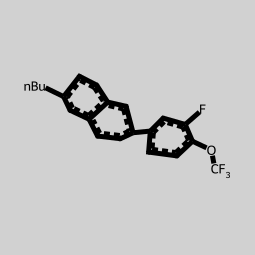 CCCCc1ccc2cc(-c3ccc(OC(F)(F)F)c(F)c3)ccc2c1